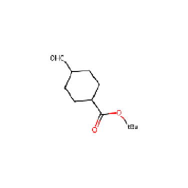 CC(C)(C)OC(=O)C1CCC(C=O)CC1